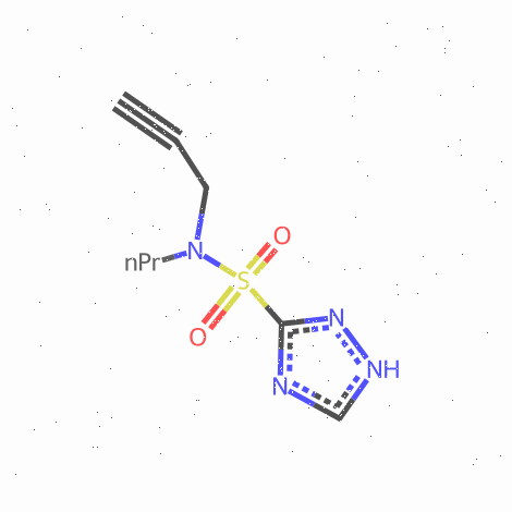 C#CCN(CCC)S(=O)(=O)c1nc[nH]n1